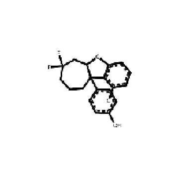 Oc1ccc(C23CCCC(F)(F)CC2Oc2cccc(Cl)c23)cc1